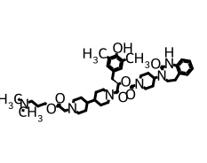 Cc1cc(C[C@@H](OC(=O)N2CCC(N3CCc4ccccc4NC3=O)CC2)C(=O)N2CCC(C3CCN(CC(=O)OCCCN(C)C)CC3)CC2)cc(C)c1O